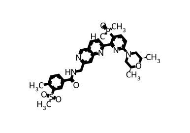 Cc1ccc(C(=O)NCc2cc3nc(-c4nc(N5C[C@@H](C)O[C@@H](C)C5)ccc4P(C)(C)=O)ccc3cn2)cc1S(C)(=O)=O